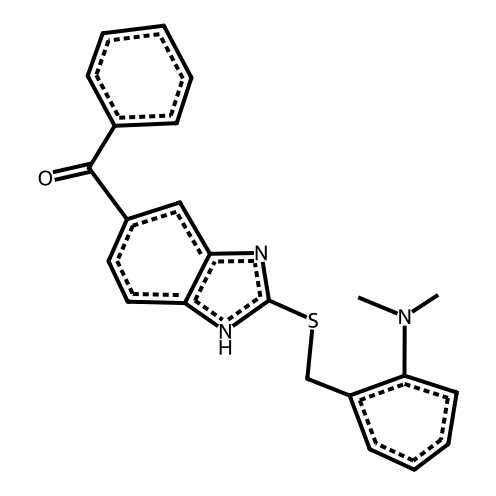 CN(C)c1ccccc1CSc1nc2cc(C(=O)c3ccccc3)ccc2[nH]1